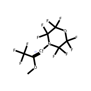 CO/[C](=[Cf]\[N]1C(F)(F)C(F)(F)OC(F)(F)C1(F)F)C(F)(F)F